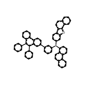 c1ccc(-c2c(-c3ccccc3)c3cc(-c4cccc(N(c5ccc6c(c5)oc5c7ccccc7ccc65)c5cccc6c5ccc5ccccc56)c4)ccc3c3ccccc23)cc1